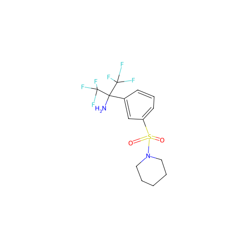 NC(c1cccc(S(=O)(=O)N2CCCCC2)c1)(C(F)(F)F)C(F)(F)F